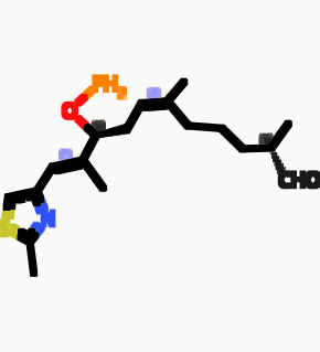 C/C(=C/C[C@H](OP)/C(C)=C/c1csc(C)n1)CCC[C@H](C)C=O